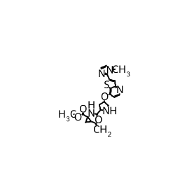 C=CC1CC1(NC(=O)C1CC(Oc2ccnc3cc(-c4nccn4C)sc23)CN1)C(=O)OC